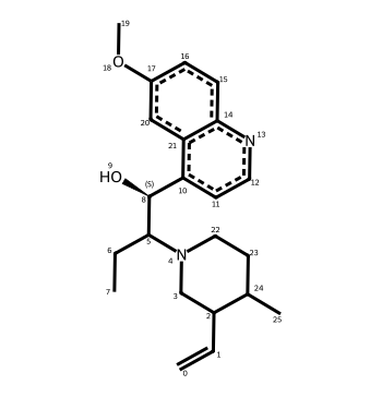 C=CC1CN(C(CC)[C@@H](O)c2ccnc3ccc(OC)cc23)CCC1C